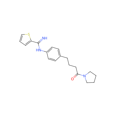 N=C(Nc1ccc(CCCC(=O)N2CCCC2)cc1)c1cccs1